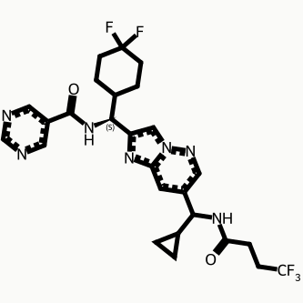 O=C(CCC(F)(F)F)NC(c1cnn2cc([C@@H](NC(=O)c3cncnc3)C3CCC(F)(F)CC3)nc2c1)C1CC1